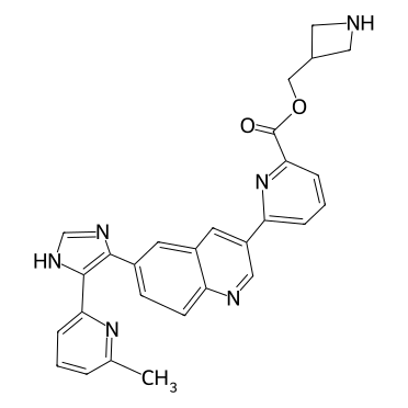 Cc1cccc(-c2[nH]cnc2-c2ccc3ncc(-c4cccc(C(=O)OCC5CNC5)n4)cc3c2)n1